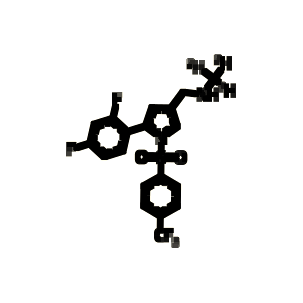 [2H]C([2H])([2H])NCc1cc(-c2ccc(F)cc2F)n(S(=O)(=O)c2ccc(C(F)(F)F)cc2)c1